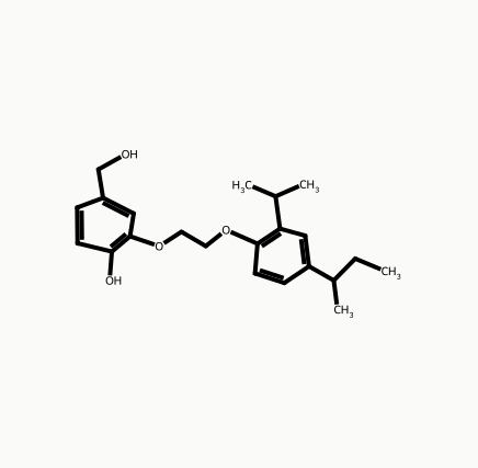 CCC(C)c1ccc(OCCOc2cc(CO)ccc2O)c(C(C)C)c1